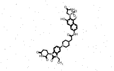 CCn1c(=O)n(C2CCC(=O)NC2=O)c2ccc(N3CCC(CC(=O)Nc4ccc5c(F)c(N6CC(=O)NS6(=O)=O)c(O)cc5c4)CC3)cc21